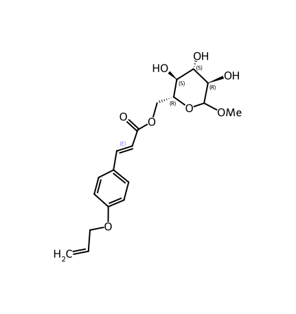 C=CCOc1ccc(/C=C/C(=O)OC[C@H]2OC(OC)[C@H](O)[C@@H](O)[C@@H]2O)cc1